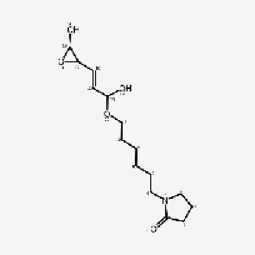 O=C1CCCN1CCCCCCOC(O)C=CC1O[C@H]1O